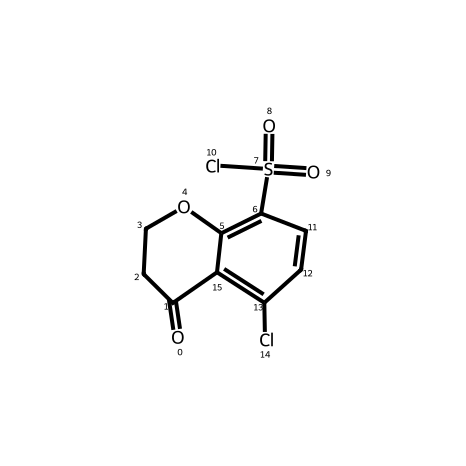 O=C1CCOc2c(S(=O)(=O)Cl)ccc(Cl)c21